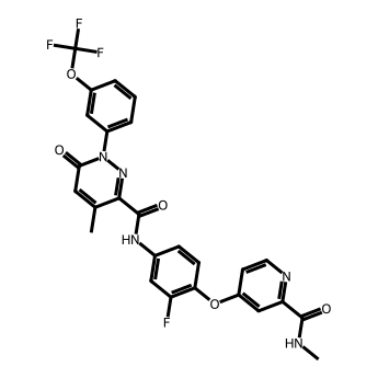 CNC(=O)c1cc(Oc2ccc(NC(=O)c3nn(-c4cccc(OC(F)(F)F)c4)c(=O)cc3C)cc2F)ccn1